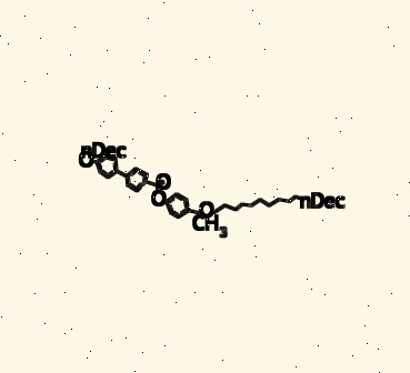 CCCCCCCCCCCCCCCCCCCCOC(C)c1ccc(OC(=O)c2ccc(-c3ccc(OCCCCCCCCCC)cc3)cc2)cc1